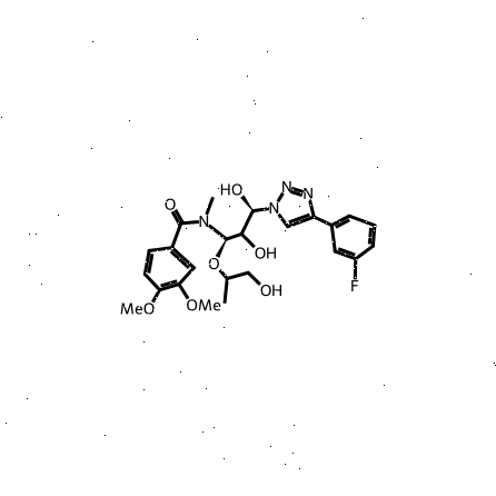 COc1ccc(C(=O)N(C)[C@H](OC(C)CO)C(O)[C@@H](O)n2cc(-c3cccc(F)c3)nn2)cc1OC